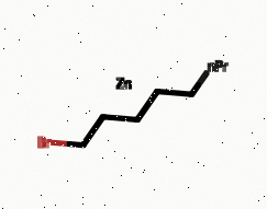 CCCCCCCCBr.[Zn]